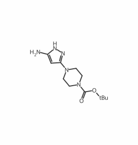 CC(C)(C)OC(=O)N1CCN(c2cc(N)[nH]n2)CC1